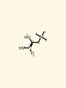 C[N+](C)(C)C/C(O)=[P+](\[O-])S